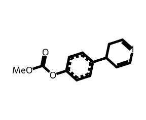 COC(=O)Oc1ccc(C2C=CI=CC2)cc1